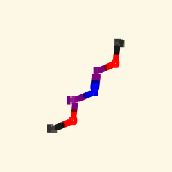 CCOP=NPOCC